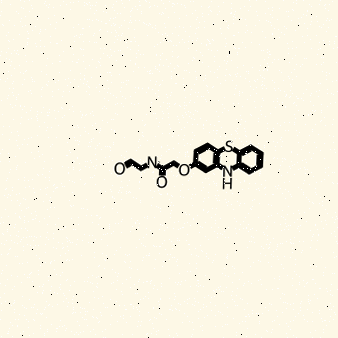 O=CC[N]C(=O)COc1ccc2c(c1)Nc1ccccc1S2